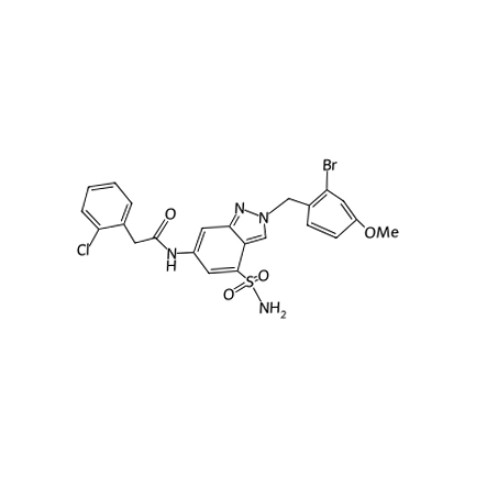 COc1ccc(Cn2cc3c(S(N)(=O)=O)cc(NC(=O)Cc4ccccc4Cl)cc3n2)c(Br)c1